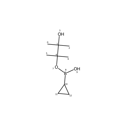 CC(C)(O)C(C)(C)OB(O)C1CC1